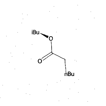 C[CH][C@H](C)OC(=O)CCCCC